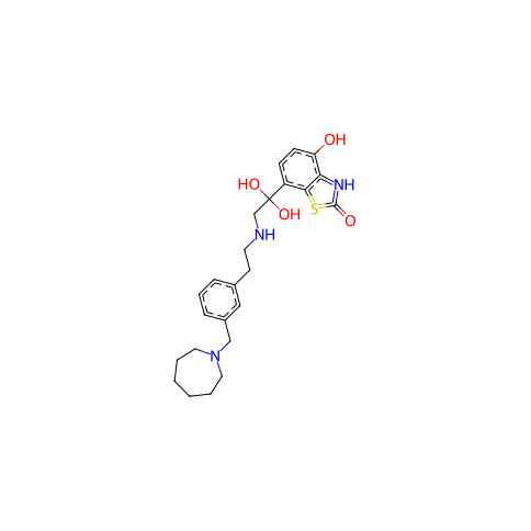 O=c1[nH]c2c(O)ccc(C(O)(O)CNCCc3cccc(CN4CCCCCC4)c3)c2s1